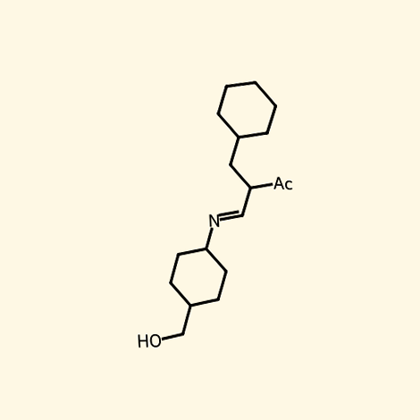 CC(=O)C(/C=N/C1CCC(CO)CC1)CC1CCCCC1